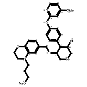 COCCCN1CCOc2ccc(COC3CNCC(O)C3c3ccc(Oc4cc(OC)ccn4)cc3)cc21